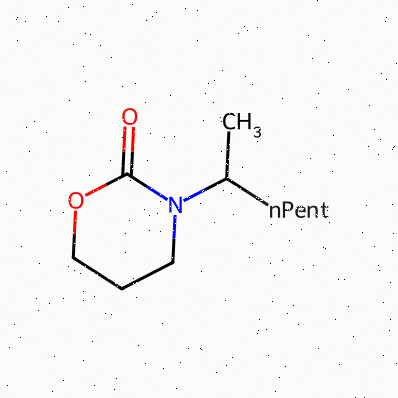 CCCCCC(C)N1CCCOC1=O